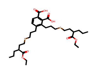 CCCC(CCSCCCc1ccc(C(=O)O)c(C(=O)O)c1CCCSCCC(CCC)C(=O)OCC)C(=O)OCC